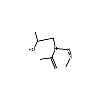 C=C(C)N(CC(C)O)/N=N\C